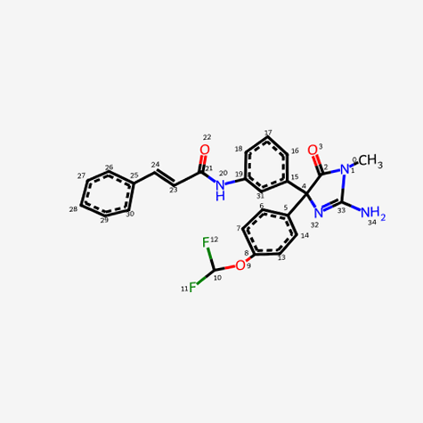 CN1C(=O)C(c2ccc(OC(F)F)cc2)(c2cccc(NC(=O)C=Cc3ccccc3)c2)N=C1N